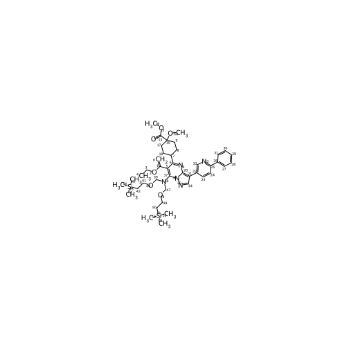 C=C(OCC)c1c(C2CCC(OC)(C(=O)OC)CC2)nc2c(-c3ccc(-c4ccccc4)nc3)cnn2c1N(COCC[Si](C)(C)C)COCC[Si](C)(C)C